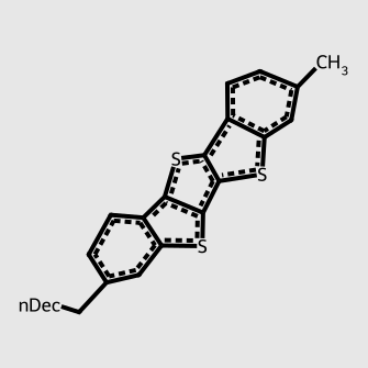 CCCCCCCCCCCc1ccc2c(c1)sc1c2sc2c3ccc(C)cc3sc21